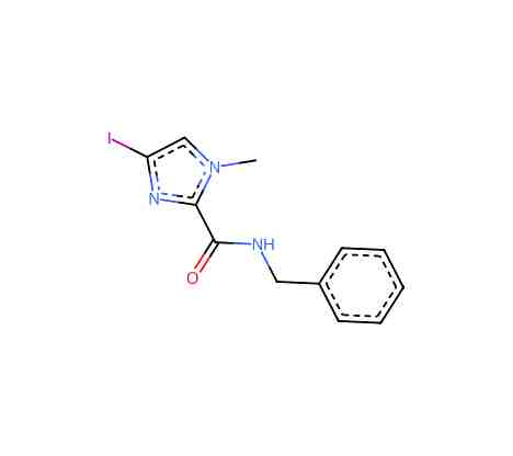 Cn1cc(I)nc1C(=O)NCc1ccccc1